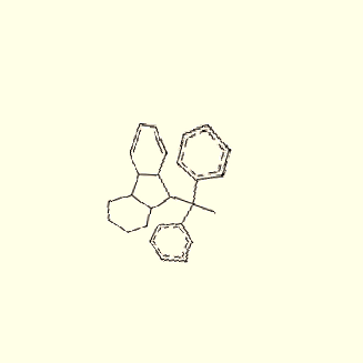 CC(c1ccccc1)(c1ccccc1)C1C2C=CC=CC2C2CCCCC21